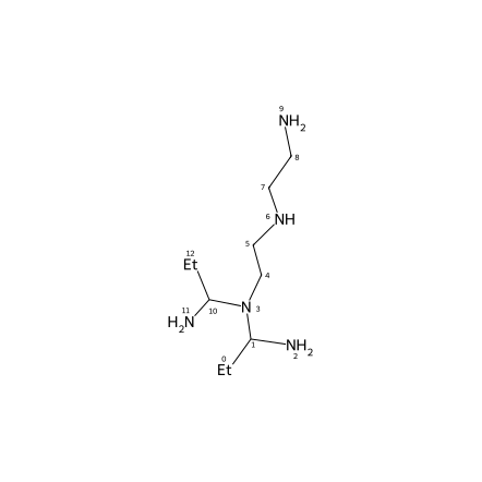 CCC(N)N(CCNCCN)C(N)CC